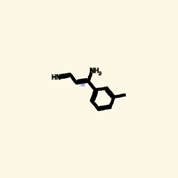 Cc1cccc(/C(N)=C/C=N)c1